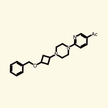 CC(=O)c1ccc(N2CCN(C3CC(OCc4ccccc4)C3)CC2)nc1